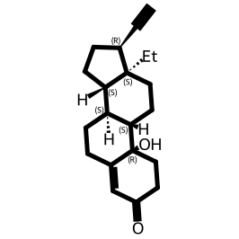 C#C[C@@H]1CC[C@H]2[C@@H]3CCC4=CC(=O)CC[C@@]4(O)[C@H]3CC[C@]12CC